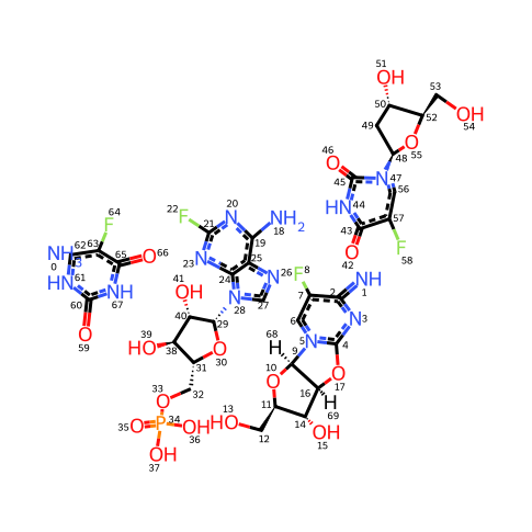 N.N=c1nc2n(cc1F)[C@@H]1O[C@H](CO)[C@@H](O)[C@@H]1O2.Nc1nc(F)nc2c1ncn2[C@@H]1O[C@H](COP(=O)(O)O)[C@@H](O)[C@@H]1O.O=c1[nH]c(=O)n([C@H]2C[C@H](O)[C@@H](CO)O2)cc1F.O=c1[nH]cc(F)c(=O)[nH]1